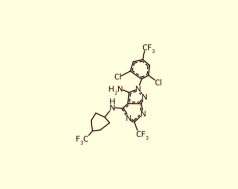 Nc1c2c(NC3CCC(C(F)(F)F)CC3)nc(C(F)(F)F)nc2nn1-c1c(Cl)cc(C(F)(F)F)cc1Cl